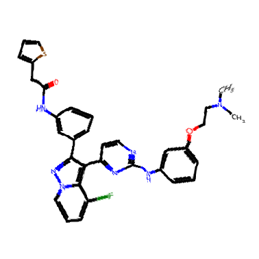 CN(C)CCOc1cccc(Nc2nccc(-c3c(-c4cccc(NC(=O)Cc5cccs5)c4)nn4cccc(F)c34)n2)c1